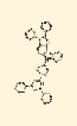 c1ccc(-c2cc(-c3ccccc3)nc(-c3ccc(-n4c5ccccc5c5c6sc(-c7ccccc7)c(-c7ccccc7)c6ccc54)cc3)c2)cc1